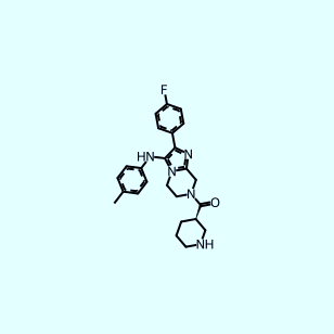 Cc1ccc(Nc2c(-c3ccc(F)cc3)nc3n2CCN(C(=O)[C@@H]2CCCNC2)C3)cc1